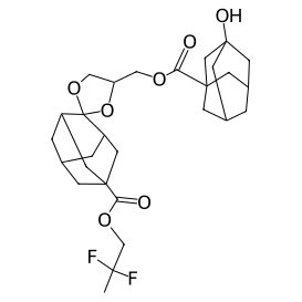 CC(F)(F)COC(=O)C12CC3CC(C1)C1(OCC(COC(=O)C45CC6CC(CC(O)(C6)C4)C5)O1)C(C3)C2